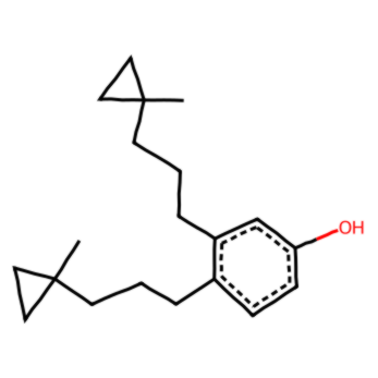 CC1(CCCc2ccc(O)cc2CCCC2(C)CC2)CC1